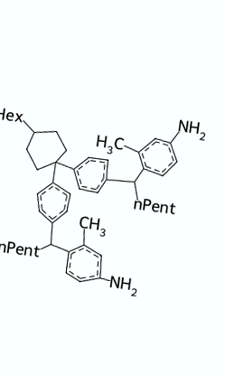 CCCCCCC1CCC(c2ccc(C(CCCCC)c3ccc(N)cc3C)cc2)(c2ccc(C(CCCCC)c3ccc(N)cc3C)cc2)CC1